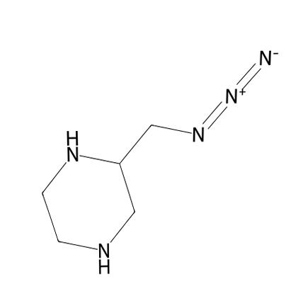 [N-]=[N+]=NCC1CNCCN1